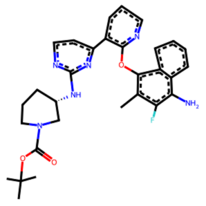 Cc1c(F)c(N)c2ccccc2c1Oc1ncccc1-c1ccnc(N[C@H]2CCCN(C(=O)OC(C)(C)C)C2)n1